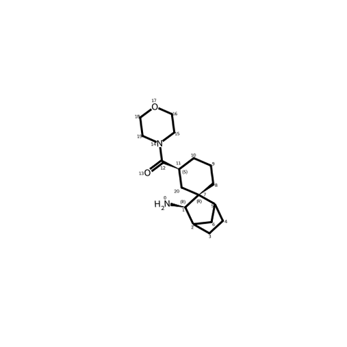 N[C@@H]1C2CCC(C2)[C@]12CCC[C@H](C(=O)N1CCOCC1)C2